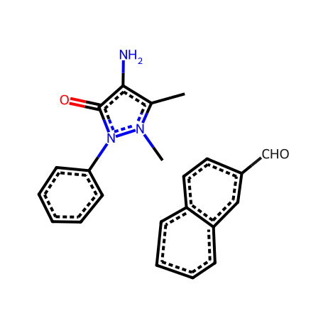 Cc1c(N)c(=O)n(-c2ccccc2)n1C.O=Cc1ccc2ccccc2c1